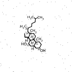 CC(C)CCC[C@@H](C)[C@H]1CC[C@H]2[C@@H]3[C@@H](O)C[C@@H]4C[C@H](O)CC[C@]4(C)[C@H]3CC[C@]12C